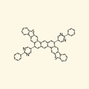 c1ccc(-c2ncc(-c3cc4cc5c(cc(-c6cnc(-c7ccccc7)nc6)c6cc7c(cc65)sc5ccccc57)cc4c4cc5sc6ccccc6c5cc34)cn2)cc1